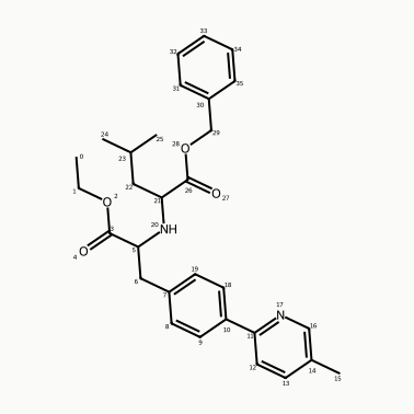 CCOC(=O)C(Cc1ccc(-c2ccc(C)cn2)cc1)NC(CC(C)C)C(=O)OCc1ccccc1